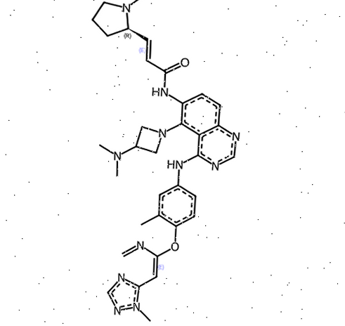 C=N/C(=C\c1ncnn1C)Oc1ccc(Nc2ncnc3ccc(NC(=O)/C=C/[C@H]4CCCN4C)c(N4CC(N(C)C)C4)c23)cc1C